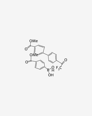 COC(=O)c1ccc(-c2ccc(C(=O)C(F)(F)F)cc2)cc1.COC(=O)c1ccc(B(O)O)cc1